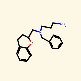 NCCCN(Cc1ccccc1)CC1CCc2ccccc2O1